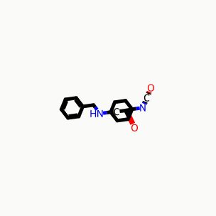 O=C=NC12CCC(NCc3ccccc3)(CC1)CC2=O